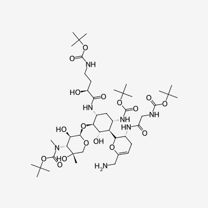 CN(C(=O)OC(C)(C)C)[C@@H]1[C@@H](O)[C@@H](O[C@@H]2[C@@H](O)[C@H](C3OC(CN)=CC[C@H]3NC(=O)CNC(=O)OC(C)(C)C)[C@@H](NC(=O)OC(C)(C)C)C[C@H]2NC(=O)[C@@H](O)CCNC(=O)OC(C)(C)C)OC[C@]1(C)O